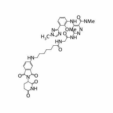 CNC(=O)c1nnc(NC(=O)CNC(=O)CCCCCCNc2ccc3c(c2)C(=O)N(C2CCC(=O)NC2=O)C3=O)cc1Nc1cccc(-c2ncn(C)n2)c1OC